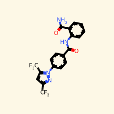 NC(=O)c1ccccc1NC(=O)c1ccc(-n2nc(C(F)(F)F)cc2C(F)(F)F)cc1